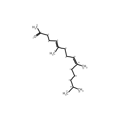 CC(=O)CC/C=C(\C)CC/C=C(/C)CCCC(C)C